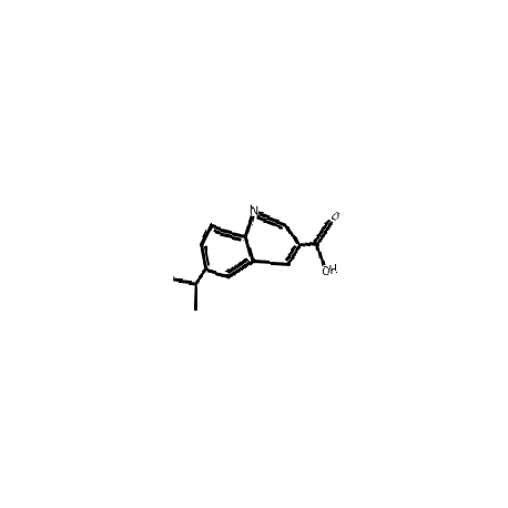 CC(C)c1ccc2ncc(C(=O)O)cc2c1